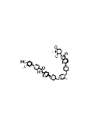 C[C@H]1CN(CC2CCN(c3ccc(NC(=O)C4CCN(c5ccc(C#N)c(C(F)(F)F)c5)CC4)nc3)CC2)CCN1CC1CCN(c2ccc3c(n2)CN(C2CCC(=O)NC2=O)C3=O)CC1